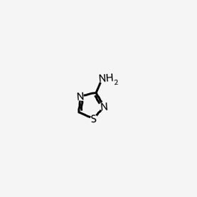 Nc1ncsn1